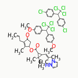 C=CCC1=C(C)C(OC(=O)C2C(C=C(C)C)C2(C)C)CC1=O.COc1ccc(C(c2ccc(OC)cc2)C(Cl)(Cl)Cl)cc1.Clc1ccc(C(c2ccc(Cl)cc2)C(Cl)(Cl)Cl)cc1.c1cn[nH]c1